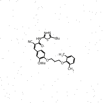 COc1cc(/C=C(/C#N)C(=O)Nc2nnc(C(C)(C)C)s2)ccc1OCCCOc1c(C)cccc1C